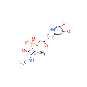 C[C@H]1C(NC(=O)O)C(=O)N1P(=O)(O)OCC(=O)NCc1cc(=O)c(O)c[nH]1